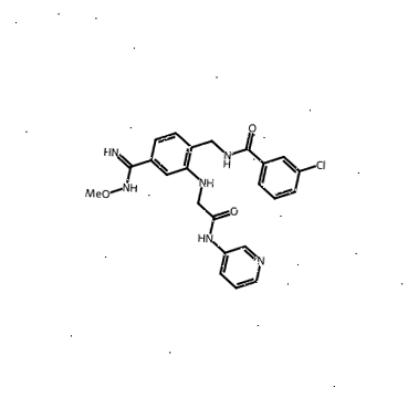 CONC(=N)c1ccc(CNC(=O)c2cccc(Cl)c2)c(NCC(=O)Nc2cccnc2)c1